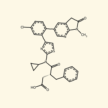 CN1C(=O)Cc2cc(-c3ccc(Cl)cc3-c3csc(N(C(=O)[C@@H](CC(=O)O)Cc4ccccc4)C4CC4)n3)cnc21